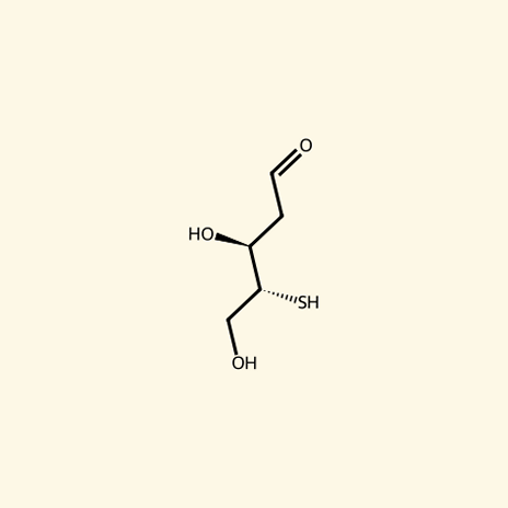 O=CC[C@H](O)[C@H](S)CO